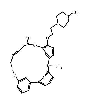 CN1CCN(CCOc2ccc3cc2CN(C)C/C=C/CCOc2cccc(c2)-c2ccnc(n2)N3C)CC1